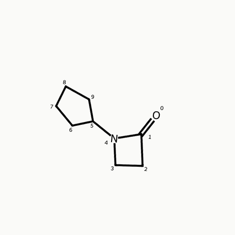 O=C1CCN1C1CCCC1